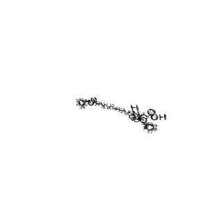 O=C(O)CCC(NC(=O)CCCCCCCCCCCCC(=O)OCc1ccccc1)C(=O)OCc1ccccc1